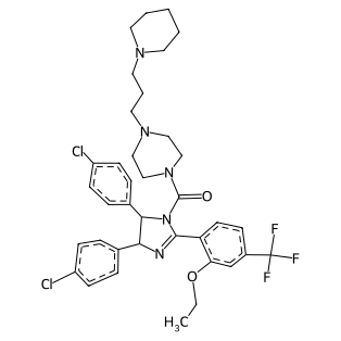 CCOc1cc(C(F)(F)F)ccc1C1=NC(c2ccc(Cl)cc2)C(c2ccc(Cl)cc2)N1C(=O)N1CCN(CCCN2CCCCC2)CC1